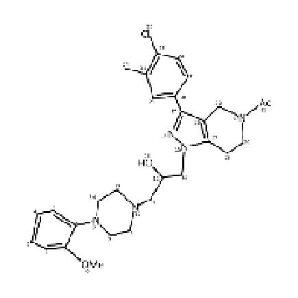 COc1ccccc1N1CCN(CC(O)Cn2nc(-c3ccc(Cl)c(C)c3)c3c2CCN(C(C)=O)C3)CC1